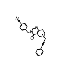 N#Cc1ccc(Cn2cnc3c(c2=O)CN(CC#Cc2ccccc2)CC3)cc1